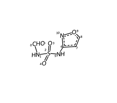 O=[C]NS(=O)(=O)Nc1ccon1